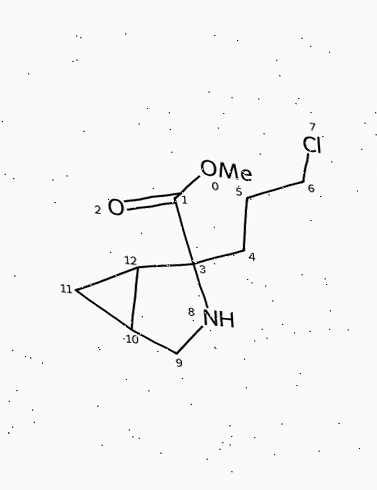 COC(=O)C1(CCCCl)NCC2CC21